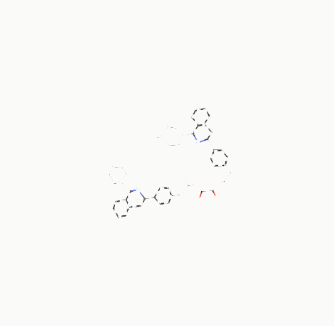 CCN1CCN(c2nc(-c3ccc(CC(C)OC(=O)C(=O)OC(C)Cc4ccc(-c5cc6ccccc6c(N6CCN(CC)CC6)n5)cc4)cc3)cc3ccccc23)CC1